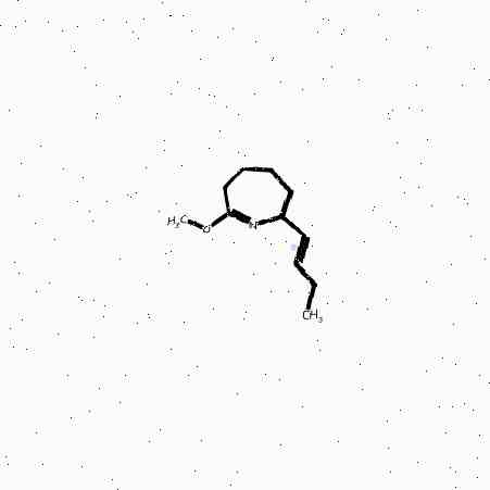 CC/C=C/C1CCCCC(OC)=N1